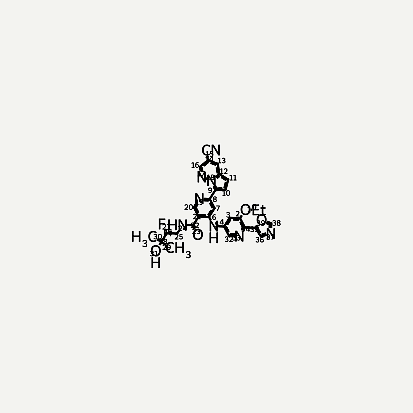 CCOc1cc(Nc2cc(-c3ccc4cc(C#N)cnn34)ncc2C(=O)NC[C@@H](F)C(C)(C)O)cnc1-c1cnco1